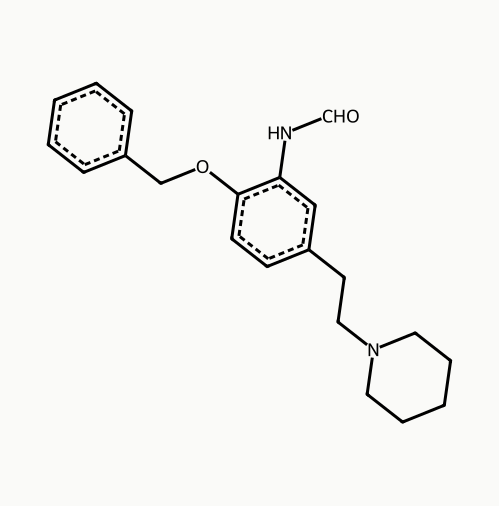 O=CNc1cc(CCN2CCCCC2)ccc1OCc1ccccc1